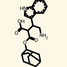 NCC(c1c[nH]c2ccccc12)C(C(=O)O)C(=O)OC1C2CC3CC(C2)CC1C3